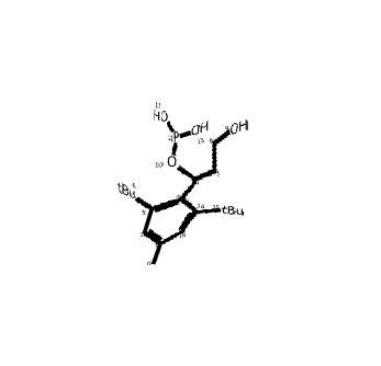 Cc1cc(C(C)(C)C)c(C(CCO)OP(O)O)c(C(C)(C)C)c1